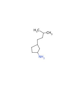 CC(C)CCC1CCC(N)C1